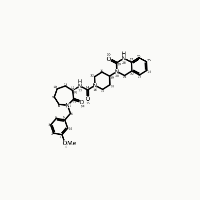 COc1cccc(CN2CCCC[C@@H](NC(=O)N3CCC(N4Cc5ccccc5NC4=O)CC3)C2=O)c1